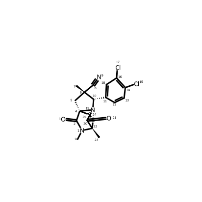 CN1C(=O)[C@@]23C[C@](C)(C#N)[C@H](c4ccc(Cl)c(Cl)c4)N2C(=O)[C@]1(C)SS3